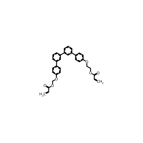 C=CC(=O)OCCOc1ccc(-c2cccc(-c3cccc(-c4ccc(OCOC(=O)C=C)cc4)c3)c2)cc1